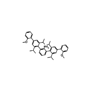 COc1ccccc1-c1cc(C(C)C)c(-c2cccc(-c3c(C(C)C)cc(-c4ccccc4OC)cc3C(C)C)c2P)c(C(C)C)c1